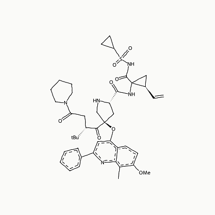 C=C[C@@H]1CC1(NC(=O)[C@@H]1C[C@](Oc2cc(-c3ccccc3)nc3c(C)c(OC)ccc23)(C(=O)[C@@H](CC(=O)N2CCCCC2)C(C)(C)C)CN1)C(=O)NS(=O)(=O)C1CC1